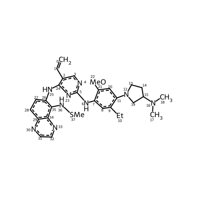 C=Cc1cnc(Nc2cc(CC)c(N3CCC(N(C)C)C3)cc2OC)nc1Nc1ccc2nccnc2c1NSC